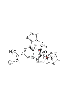 COC(C)c1cc(-c2nccs2)c2oc(N3CC4CC(C3)N4C(=O)OC(C)(C)C)nc2c1